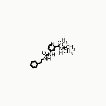 CC(C)(C)NC(=O)c1cc(NC(=O)NCCc2ccccc2)ccn1